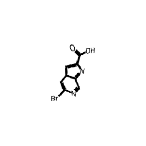 O=C(O)C1=CC2C=C(Br)N=CC2=N1